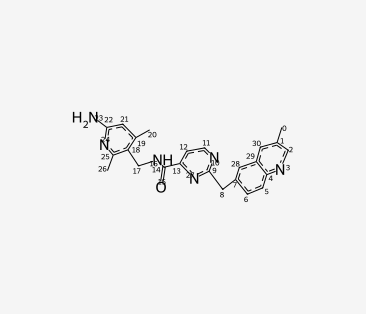 Cc1cnc2ccc(Cc3nccc(C(=O)NCc4c(C)cc(N)nc4C)n3)cc2c1